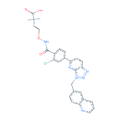 CC(C)(CCONC(=O)c1ccc(-c2ccc3nnn(Cc4ccc5ncccc5c4)c3n2)cc1Cl)C(=O)O